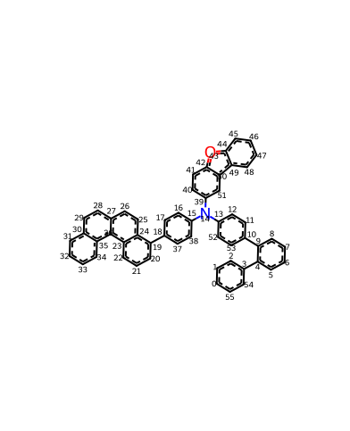 c1ccc(-c2ccccc2-c2ccc(N(c3ccc(-c4cccc5c4ccc4ccc6ccccc6c45)cc3)c3ccc4oc5ccccc5c4c3)cc2)cc1